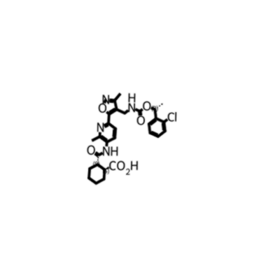 Cc1nc(-c2onc(C)c2CNC(=O)O[C@H](C)c2ccccc2Cl)ccc1NC(=O)[C@H]1CCCC[C@@H]1C(=O)O